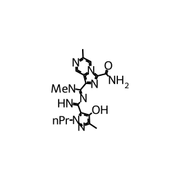 CCCn1nc(C)c(O)c1C(=N)/N=C(\NC)c1nc(C(N)=O)n2cc(C)ncc12